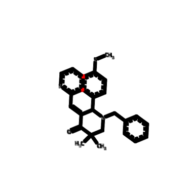 CSc1ccc(C2/C(=C\c3ccccn3)C(=O)C(C)(C)CN2Cc2ccccc2)cc1